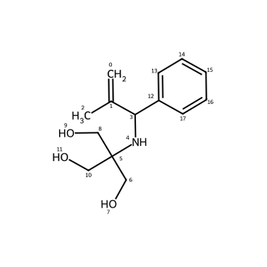 C=C(C)C(NC(CO)(CO)CO)c1ccccc1